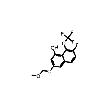 COCOc1cc(O)c2c(OC(F)(F)F)c(F)ccc2c1